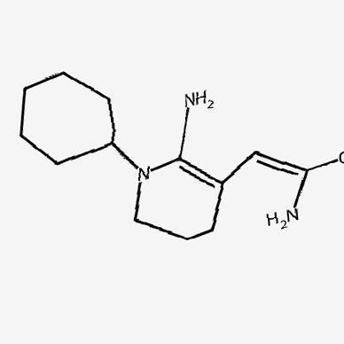 NC1=C(/C=C(\N)Cl)CCCN1C1CCCCC1